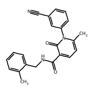 Cc1ccccc1CNC(=O)c1ccc(C)n(-c2cccc(C#N)c2)c1=O